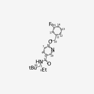 CC[C@@H](NC(=O)c1ccc(OCc2cccc(F)c2)nc1)C(C)(C)C